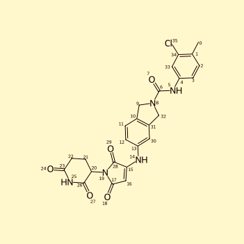 Cc1ccc(NC(=O)N2Cc3ccc(NC4=CC(=O)N(C5CCC(=O)NC5=O)C4=O)cc3C2)cc1Cl